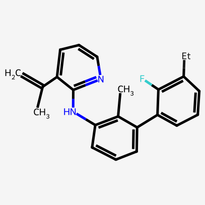 C=C(C)c1cccnc1Nc1cccc(-c2cccc(CC)c2F)c1C